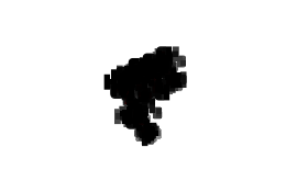 CCC(=O)Nc1ccc(OCc2ccc(Br)cc2F)cc1C(=O)O.CCC(=O)Nc1ccc(OCc2ccc(C(F)(F)F)c(F)c2)cc1C(=O)O.CCC(=O)Nc1ccc(OCc2ccc(Cl)c(Cl)c2)cc1C(=O)O.CCC(=O)Nc1ccc(OCc2ccc(F)c(C(F)(F)F)c2)cc1C(=O)O.CCC(=O)Nc1ccc(OCc2ccc(F)c(Cl)c2)cc1C(=O)O